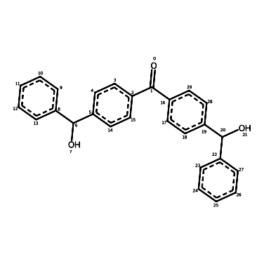 O=C(c1ccc(C(O)c2ccccc2)cc1)c1ccc(C(O)c2ccccc2)cc1